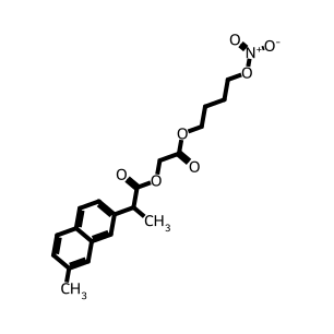 Cc1ccc2ccc(C(C)C(=O)OCC(=O)OCCCCO[N+](=O)[O-])cc2c1